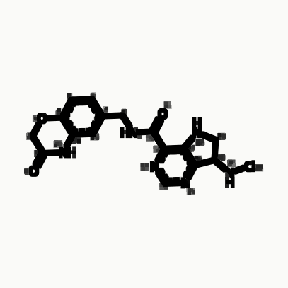 O=C1COc2ccc(CNC(=O)c3ncnc4c3NCC4NCl)cc2N1